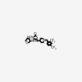 O=C1N=C(N[C@@H]2COCC[C@H]2O)/C(=C/C2CCN(Cc3ccc(C(F)(F)F)cc3C(F)(F)F)CC2)S1